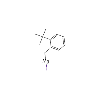 CC(C)(C)c1ccccc1[CH2][Mg][I]